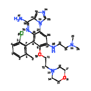 Cc1cccc(Cl)c1-c1c(OCCN2CCOCC2)c(NCCN(C)C)cc2c1nc(N)c1cncn12